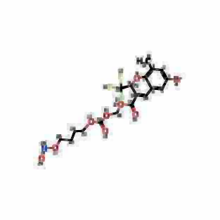 Cc1cc(Br)cc2c1O[C@H](C(F)(F)F)C(C(=O)OCOC(=O)OCCCCON=O)=C2